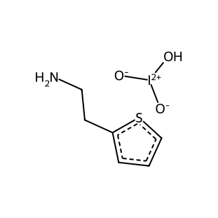 NCCc1cccs1.[O-][I+2]([O-])O